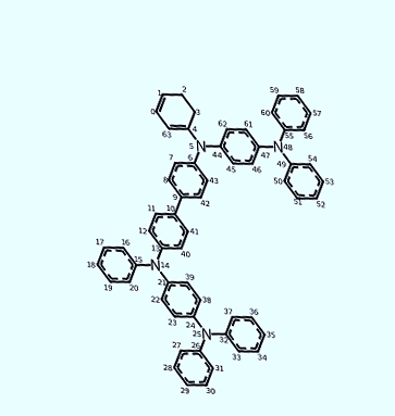 C1=CCCC(N(c2ccc(-c3ccc(N(c4ccccc4)c4ccc(N(c5ccccc5)c5ccccc5)cc4)cc3)cc2)c2ccc(N(c3ccccc3)c3ccccc3)cc2)=C1